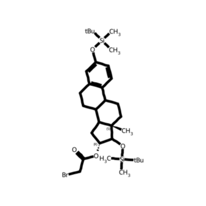 CC(C)(C)[Si](C)(C)Oc1ccc2c(c1)CCC1C2CC[C@@]2(C)C1C[C@@H](OC(=O)CBr)C2O[Si](C)(C)C(C)(C)C